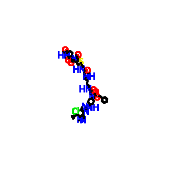 Cn1ncc(-c2nc(NC3CCC(N(CC(=O)NCCCCNCC(=O)NCc4cc5c(s4)C(=O)N(C4CCC(=O)NC4=O)C5=O)C(=O)OCc4ccccc4)CC3)ncc2Cl)c1CC1CC1